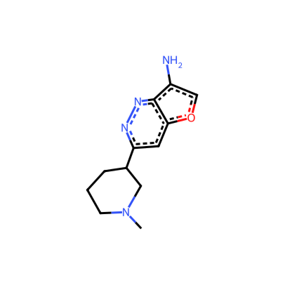 CN1CCCC(c2cc3occ(N)c3nn2)C1